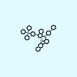 c1ccc(-c2ccc(N(c3ccc(-c4ccc([Si](c5ccccc5)(c5ccccc5)c5ccccc5)cc4)c4ccccc34)c3cccc4c3oc3cc5ccccc5cc34)cc2)cc1